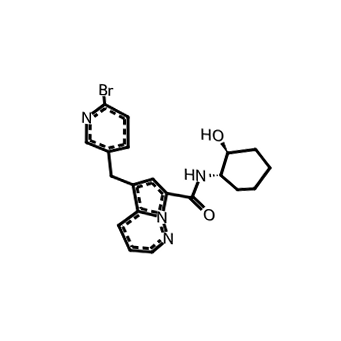 O=C(N[C@H]1CCCC[C@@H]1O)c1cc(Cc2ccc(Br)nc2)c2cccnn12